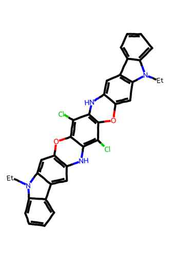 CCn1c2ccccc2c2cc3[nH]c4c(Cl)c5oc6cc7c(cc6[nH]c5c(Cl)c4oc3cc21)c1ccccc1n7CC